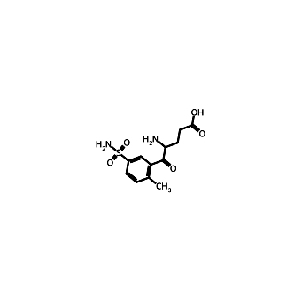 Cc1ccc(S(N)(=O)=O)cc1C(=O)C(N)CCC(=O)O